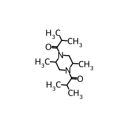 CC(C)C(=O)N1CC(C)N(C(=O)C(C)C)CC1C